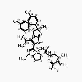 CC[C@@H]1CC[C@@H](C(=O)NC[C@H](C)N(C)C(C)=O)[N+]1(C)C(=O)C1=C(C(C)C)N2C(=N[C@@](C)(c3ccc(Cl)cc3)[C@H]2c2ccc(Cl)cc2)S1